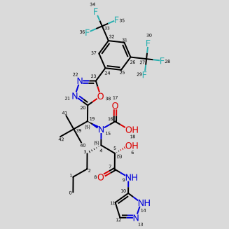 CCCC[C@@H]([C@H](O)C(=O)Nc1ccn[nH]1)N(C(=O)O)[C@H](c1nnc(-c2cc(C(F)(F)F)cc(C(F)(F)F)c2)o1)C(C)(C)C